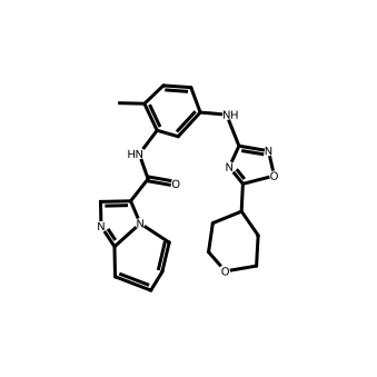 Cc1ccc(Nc2noc(C3CCOCC3)n2)cc1NC(=O)c1cnc2ccccn12